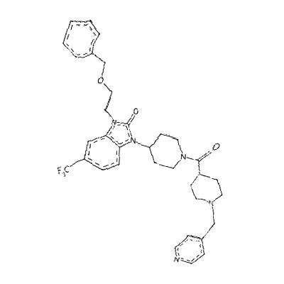 O=C(C1CCN(Cc2ccncc2)CC1)N1CCC(n2c(=O)n(CCOCc3ccccc3)c3cc(C(F)(F)F)ccc32)CC1